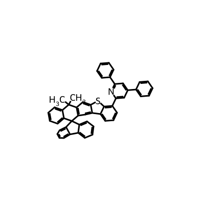 CC1(C)c2ccccc2C2(c3ccccc3-c3ccccc32)c2cc3c(cc21)sc1c(-c2cc(-c4ccccc4)cc(-c4ccccc4)n2)cccc13